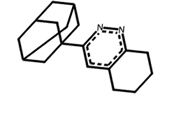 c1c(C23CC4CC(CC(C4)C2)C3)nnc2c1CCCC2